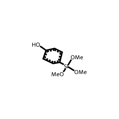 CO[Si](OC)(OC)c1ccc(O)cc1